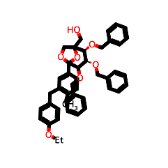 CCOc1ccc(Cc2cc(C34OCC(CO)(O3)[C@@H](OCc3ccccc3)[C@H](OCc3ccccc3)C4OCc3ccccc3)ccc2C)cc1